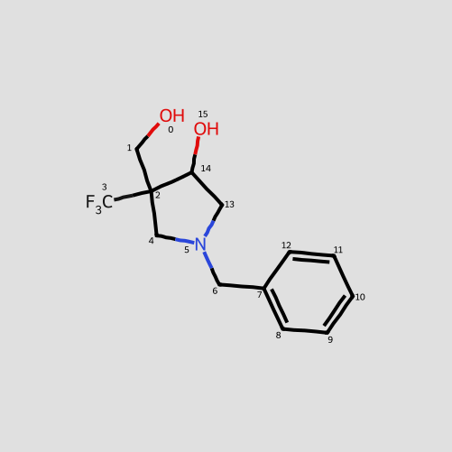 OCC1(C(F)(F)F)CN(Cc2ccccc2)CC1O